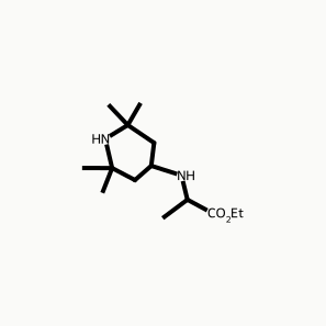 CCOC(=O)C(C)NC1CC(C)(C)NC(C)(C)C1